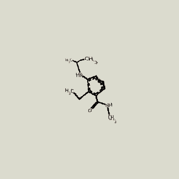 CCc1c(NC(C)C)cccc1C(=O)NC